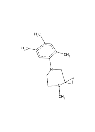 Cc1cc(C)c(N2CCN(C)C3(CC3)C2)cc1C